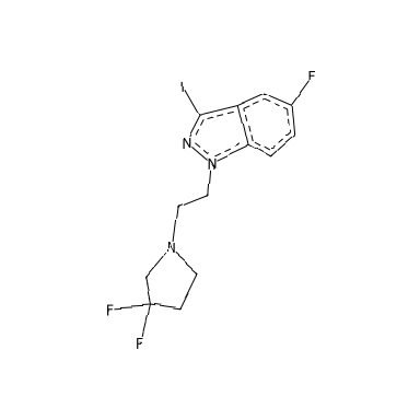 Fc1ccc2c(c1)c(I)nn2CCN1CCC(F)(F)C1